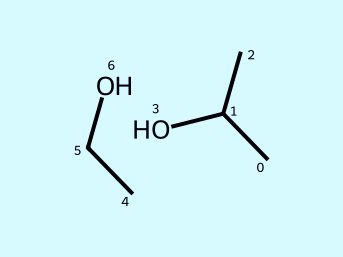 CC(C)O.CCO